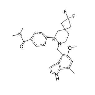 COc1cc(C)c2[nH]ccc2c1CN1CCC2(C[C@@H]1c1ccc(C(=O)N(C)C)cc1)CC(F)(F)C2